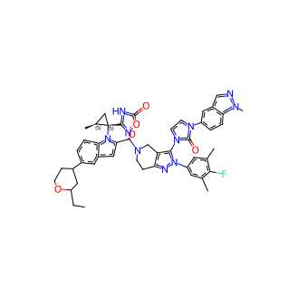 CCC1CC(c2ccc3c(c2)cc(C(=O)N2CCc4nn(-c5cc(C)c(F)c(C)c5)c(-n5ccn(-c6ccc7c(cnn7C)c6)c5=O)c4C2)n3[C@@]2(c3noc(=O)[nH]3)C[C@@H]2C)CCO1